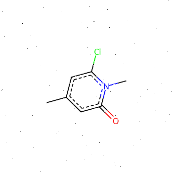 Cc1cc(Cl)n(C)c(=O)c1